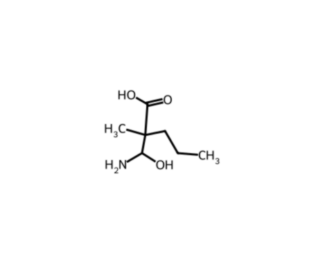 CCCC(C)(C(=O)O)C(N)O